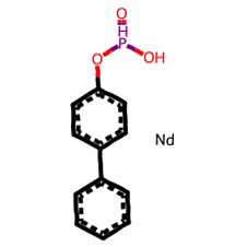 O=[PH](O)Oc1ccc(-c2ccccc2)cc1.[Nd]